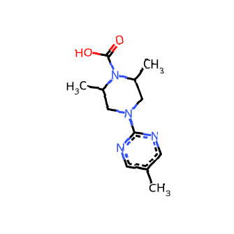 Cc1cnc(N2CC(C)N(C(=O)O)C(C)C2)nc1